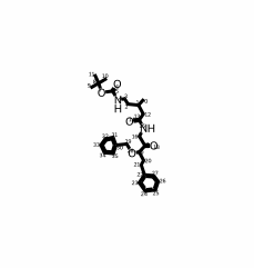 CC(CCNC(=O)OC(C)(C)C)CC(=O)NCC(=O)C(CCc1ccccc1)OCc1ccccc1